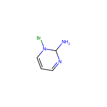 NC1N=CC=CN1Br